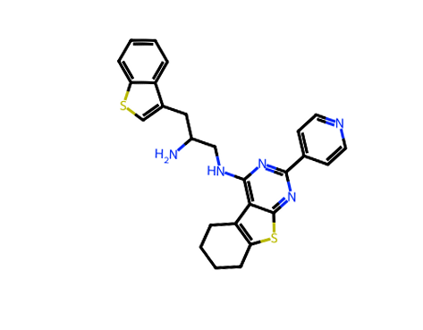 NC(CNc1nc(-c2ccncc2)nc2sc3c(c12)CCCC3)Cc1csc2ccccc12